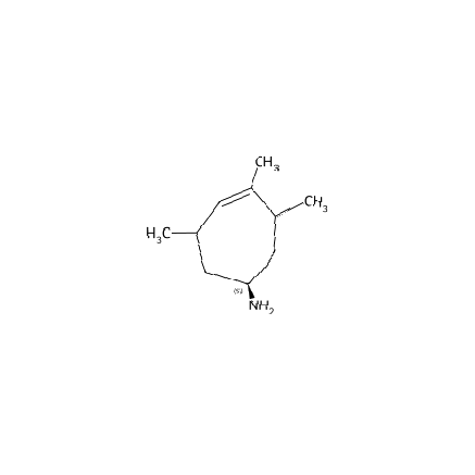 CC1=CC(C)C[C@H](N)CC1C